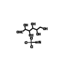 N#CC(Cl)(Cl)Cl.O=CC(O)C(O)C(O)C(O)CO